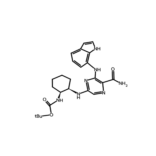 CC(C)(C)OC(=O)N[C@H]1CCCC[C@H]1Nc1cnc(C(N)=O)c(Nc2cccc3cc[nH]c23)n1